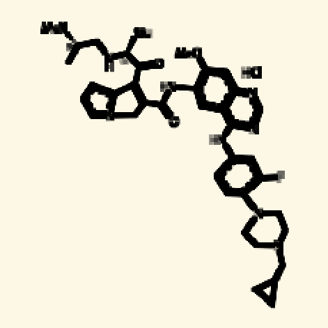 CN[C@@H](C)CN[C@H](C(=O)C1=C(C(=O)Nc2cc3c(Nc4ccc(N5CCN(CC6CC6)CC5)c(F)c4)ncnc3cc2OC)Cn2cccc21)C(C)(C)C.Cl